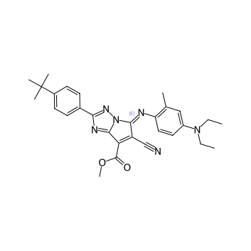 CCN(CC)c1ccc(/N=C2\C(C#N)=C(C(=O)OC)c3nc(-c4ccc(C(C)(C)C)cc4)nn32)c(C)c1